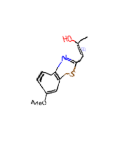 COc1ccc2nc(/C=C(/C)O)sc2c1